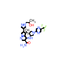 CC[C@H]1CN(c2cnc(C(F)(F)F)cn2)C[C@H]1Nc1c(C(N)=O)cnn2cc(-c3cnn(CC(C)O)c3)cc12